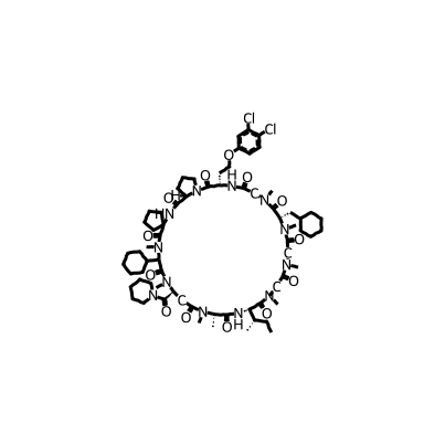 CC[C@H](C)[C@@H]1NC(=O)[C@H](C)N(C)C(=O)C[C@@H](C(=O)N2CCCCC2)N(C)C(=O)C(C2CCCCC2)N(C)C(=O)C2(CCCC2)NC(=O)[C@@H]2CCCN2C(=O)[C@H](CCOc2ccc(Cl)c(Cl)c2)NC(=O)CN(C)C(=O)[C@H](CC2CCCCC2)N(C)C(=O)CN(C)C(=O)CN(C)C1=O